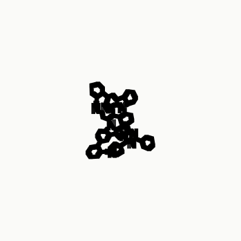 N#Cc1ccccc1-c1ccc2c(c1)c1ccccc1n2-c1ccncc1-c1cc(-c2nc(-c3ccccc3)nc(-c3ccccc3)n2)ccc1-n1c2ccccc2c2cc(-c3ccccc3C#N)ccc21